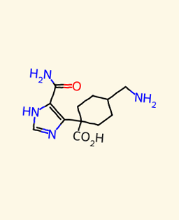 NCC1CCC(C(=O)O)(c2nc[nH]c2C(N)=O)CC1